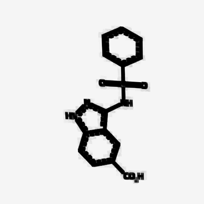 O=C(O)c1ccc2[nH]nc(NS(=O)(=O)c3ccccc3)c2c1